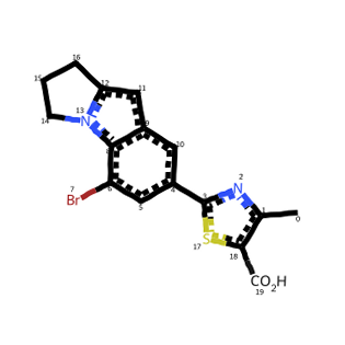 Cc1nc(-c2cc(Br)c3c(c2)cc2n3CCC2)sc1C(=O)O